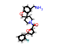 NCc1ccc2c(c1)C1(CCN(C(=O)c3ccc(-c4ccccc4F)o3)CC1)CO2